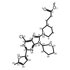 COC(=O)CCC1CCCN(c2nc3c(Cl)nc(-c4ccc(C)o4)nc3n2C2CCCCO2)C1